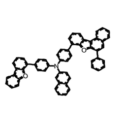 c1ccc(-c2cc3ccccc3c3c2oc2c(-c4ccc(N(c5ccc(-c6cccc7c6oc6ccccc67)cc5)c5ccc6ccccc6c5)cc4)cccc23)cc1